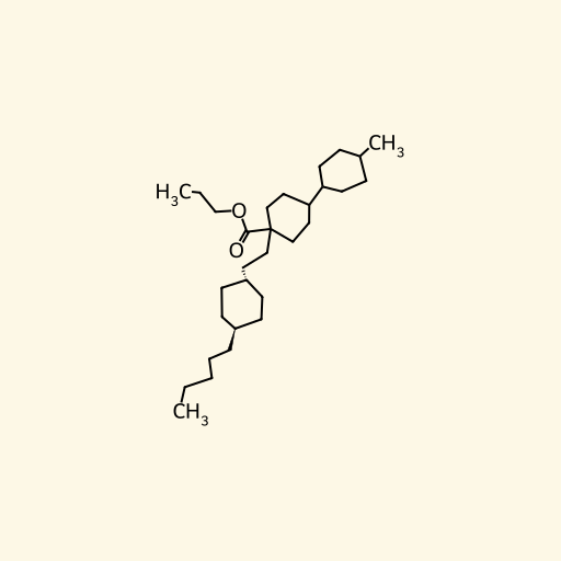 CCCCC[C@H]1CC[C@H](CCC2(C(=O)OCCC)CCC(C3CCC(C)CC3)CC2)CC1